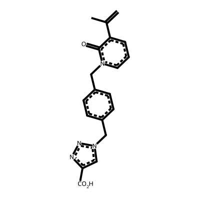 C=C(C)c1cccn(Cc2ccc(Cn3cc(C(=O)O)nn3)cc2)c1=O